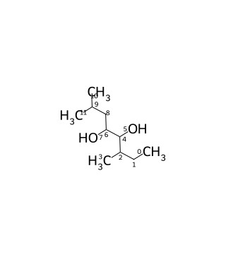 CCC(C)C(O)C(O)CC(C)C